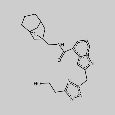 O=C(NCC12CC3CCCC(C3)(C1)C2)c1cccn2nc(Cn3nnc(CCO)n3)cc12